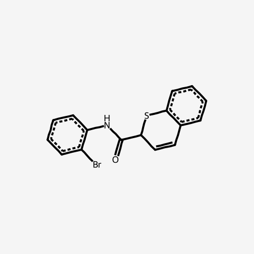 O=C(Nc1ccccc1Br)C1C=Cc2ccccc2S1